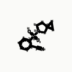 N#Cc1ccccc1S(=O)(=O)N1CCC2(CC2)C1